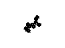 c1ccc(-c2nc(-c3ccc4ccccc4c3)nc(-c3ccc(-c4ccc(-c5cccc6oc7ccccc7c56)c5ccccc45)c4ccccc34)n2)cc1